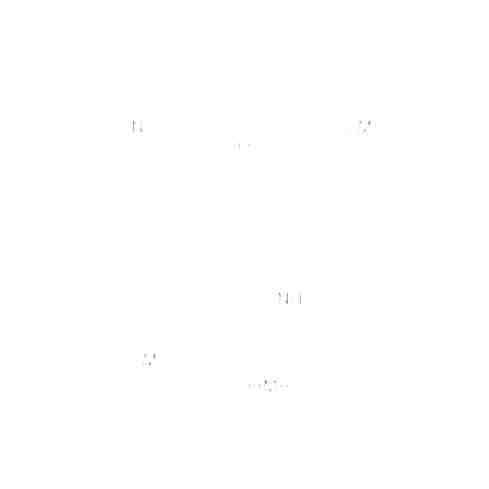 COc1ccc(NCC(OC)OC)cc1OCCN(C)C